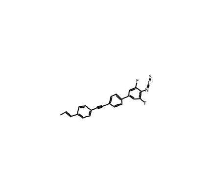 C/C=C/c1ccc(C#Cc2ccc(-c3cc(F)c(N=C=S)c(F)c3)cc2)cc1